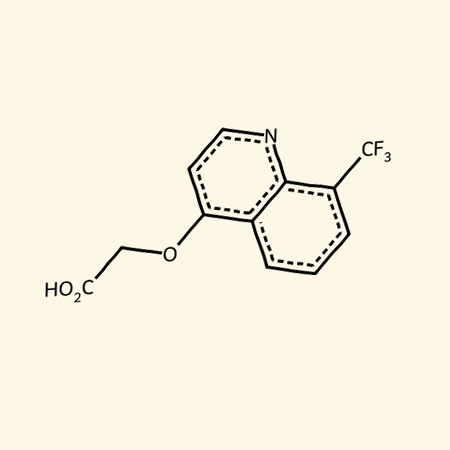 O=C(O)COc1ccnc2c(C(F)(F)F)cccc12